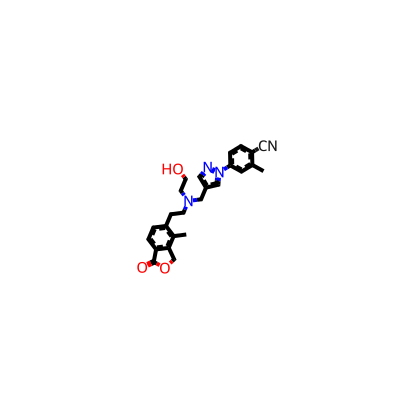 Cc1cc(-n2cc(CN(CCO)CCc3ccc4c(c3C)COC4=O)cn2)ccc1C#N